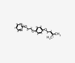 CC(C)=CCOc1ccc(OCCOc2ncccn2)cc1